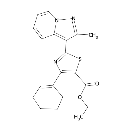 CCOC(=O)c1sc(-c2c(C)nn3ccccc23)nc1C1=CCCCC1